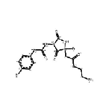 CC(C)C1(CC(=O)NCCP)NC(=O)N(NC(=O)Nc2ccc(Br)cc2)C1=O